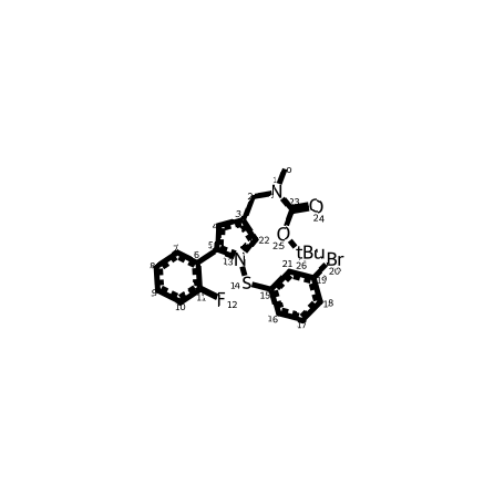 CN(Cc1cc(-c2ccccc2F)n(Sc2cccc(Br)c2)c1)C(=O)OC(C)(C)C